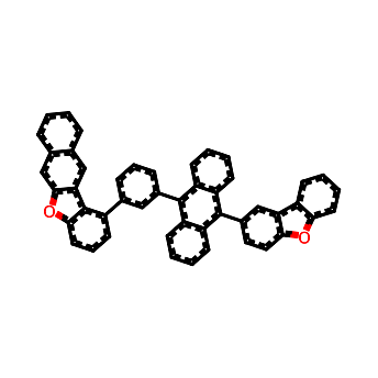 c1cc(-c2c3ccccc3c(-c3ccc4oc5ccccc5c4c3)c3ccccc23)cc(-c2cccc3oc4cc5ccccc5cc4c23)c1